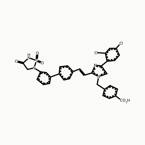 O=C1CN(c2cccc(-c3ccc(/C=C/c4nc(-c5ccc(Cl)cc5Cl)cn4Cc4ccc(C(=O)O)cc4)cc3)c2)S(=O)(=O)N1